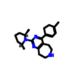 CC1=CC=C(c2nc(N3[C@H](C)CCC[C@@H]3C)nc3c2CCNCC3)CC1